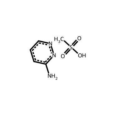 CS(=O)(=O)O.Nc1cccnn1